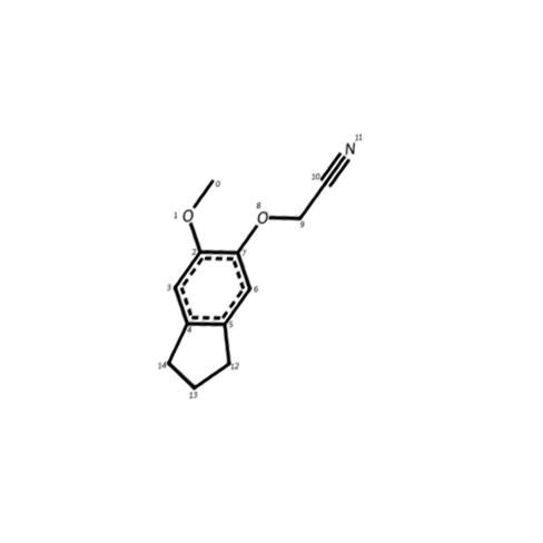 COc1cc2c(cc1OCC#N)CCC2